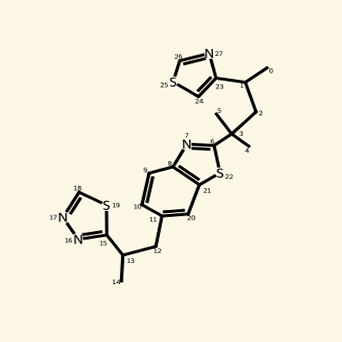 CC(CC(C)(C)c1nc2ccc(CC(C)c3nncs3)cc2s1)c1cscn1